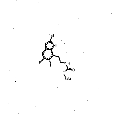 [CH2]Cc1cc2cc(F)c(F)c(CCNC(=O)OC(C)(C)C)c2[nH]1